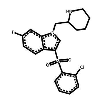 O=S(=O)(c1ccccc1Cl)c1cn(CC2CCCCN2)c2cc(F)ccc12